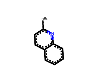 [CH2]CCCc1ccc2ccccc2n1